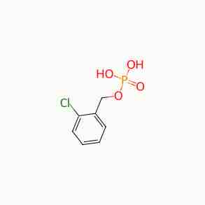 O=P(O)(O)OCc1ccccc1Cl